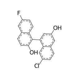 Oc1cc(-c2c(O)ccc3cc(F)ccc23)c2cc(Cl)ccc2c1